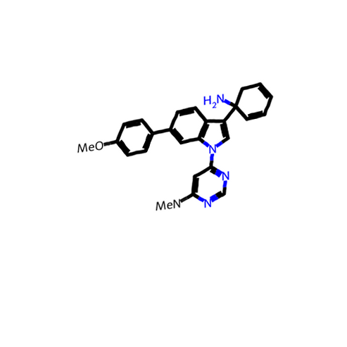 CNc1cc(-n2cc(C3(N)C=CC=CC3)c3ccc(-c4ccc(OC)cc4)cc32)ncn1